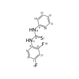 Fc1ccc(NC(=S)Nc2ccccc2)c(F)c1